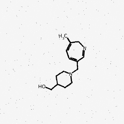 CC1=CC=C(CN2CCC(CO)CC2)C=NC1